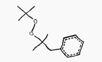 CC(C)(C)OOC(C)(C)Cc1ccccc1